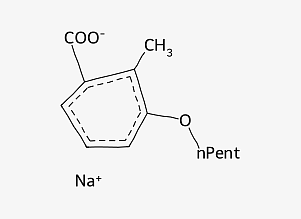 CCCCCOc1cccc(C(=O)[O-])c1C.[Na+]